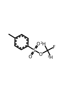 [2H]C([2H])(F)OS(=O)(=O)c1ccc(C)cc1